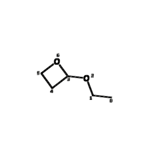 CCOC1CCO1